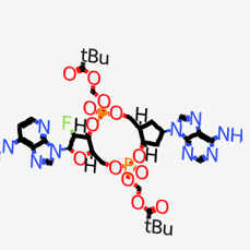 CC(C)(C)C(=O)OCOP1(=O)OC[C@H]2C[C@@H](n3cnc4c(N)ncnc43)C[C@H]2OP(=O)(OCOC(=O)C(C)(C)C)OC[C@H]2O[C@@H](n3cnc4c(N)ccnc43)C(F)[C@H]2O1